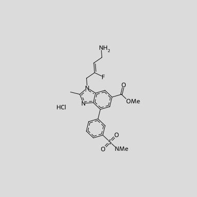 CNS(=O)(=O)c1cccc(-c2cc(C(=O)OC)cc3c2nc(C)n3C/C(F)=C/CN)c1.Cl